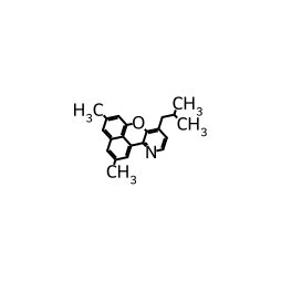 Cc1cc2c3c(cc(C)cc3c1)-c1nccc(CC(C)C)c1O2